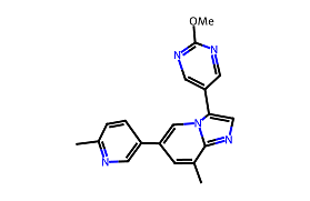 COc1ncc(-c2cnc3c(C)cc(-c4ccc(C)nc4)cn23)cn1